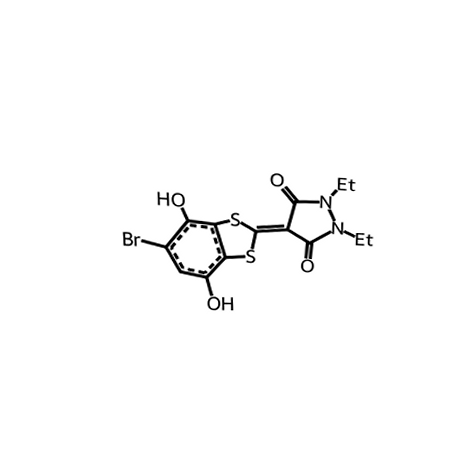 CCN1C(=O)C(=C2Sc3c(O)cc(Br)c(O)c3S2)C(=O)N1CC